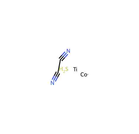 N#CC#N.S.[Co].[Ti]